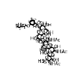 CCCCCC/C=C\CCCOc1cccc(C(=O)NC2C(O[C@H]3CC(O)(NC(C)=O)C(OC4C(CO)O[C@@H](O[C@@H]5C(CO)O[C@@H](OC6C(CO)O[C@@H](SS)[C@@H](NC(C)=O)[C@H]6O)C(NC(C)=O)C5O)[C@@H](NC(C)=O)[C@H]4O)OC3CO)OC(CO)[C@@H](O)C2O)c1